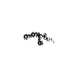 CCOC(=O)CCc1cn(Cc2ccc(OCc3cccnc3)cc2)nc1OCc1cccnc1